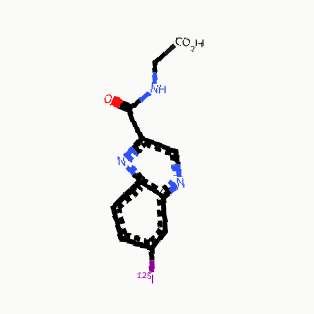 O=C(O)CNC(=O)c1cnc2cc([125I])ccc2n1